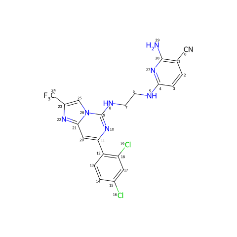 N#Cc1ccc(NCCNc2nc(-c3ccc(Cl)cc3Cl)cc3nc(C(F)(F)F)cn23)nc1N